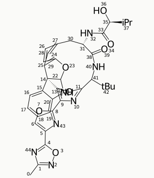 Cc1noc(-c2coc(-c3nc4oc3[C@@]35c6ccccc6NC3Oc3ccc(cc35)C[C@H](NC(=O)[C@@H](O)C(C)C)C(=O)NC4C(C)(C)C)n2)n1